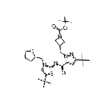 CC(C)(C)OC(=O)N1CC(Cn2nc(C(C)(C)C)cc2C(=O)N=c2sc(C(C)(C)C)cn2C[C@H]2CCCO2)C1